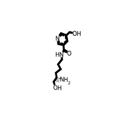 N[C@H](CO)CCCCNC(=O)c1cncc(CO)c1